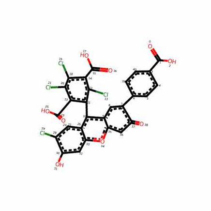 O=C(O)c1ccc(-c2cc3c(-c4c(Cl)c(C(=O)O)c(Cl)c(Cl)c4C(=O)O)c4cc(Cl)c(O)cc4oc-3cc2=O)cc1